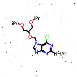 CC(=O)Nc1nc(Cl)c2c(ncn2COC(COC(C)C)COC(C)C)n1